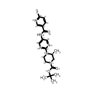 C[C@H]1CN(C(=O)OC(C)(C)C)CCN1c1ncc(NC(=O)c2ccc(F)nc2)cn1